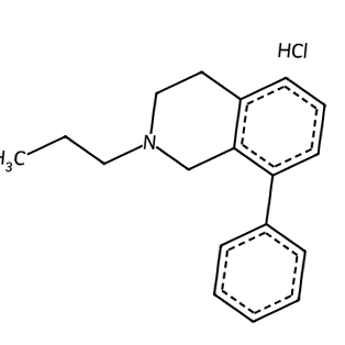 CCCN1CCc2cccc(-c3ccccc3)c2C1.Cl